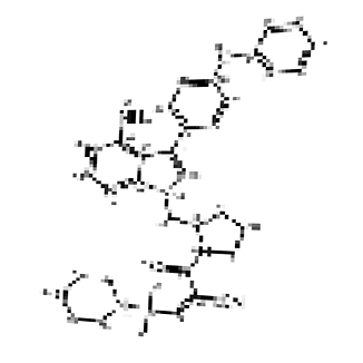 CC(C)(/C=C(/C#N)C(=O)N1CCC[C@@H]1Cn1cc(-c2ccc(Oc3ccccc3)cc2)c2c(N)ncnc21)N1CCOCC1